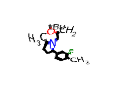 C=C(CN1C(C)CCC1c1ccc(C)c(F)c1)OC(C)(C)C